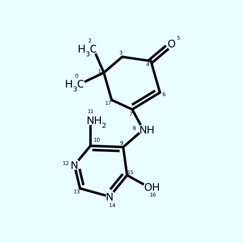 CC1(C)CC(=O)C=C(Nc2c(N)ncnc2O)C1